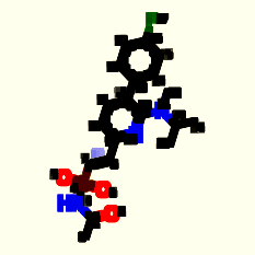 CC(=O)NS(=O)(=O)/C=C/c1ccc(-c2ccc(F)cc2)c(N(C)C(C)C)n1